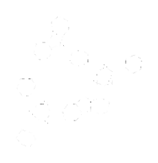 c1ccc(-c2nc(-c3ccccc3)nc(-c3ccc4c(c3)oc3c(-c5nc(-c6ccccc6)nc(-c6ccc(-n7c8ccccc8c8ccccc87)cc6)n5)cccc34)n2)cc1